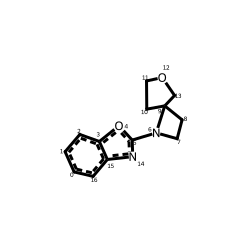 c1ccc2oc(N3CCC34CCOC4)nc2c1